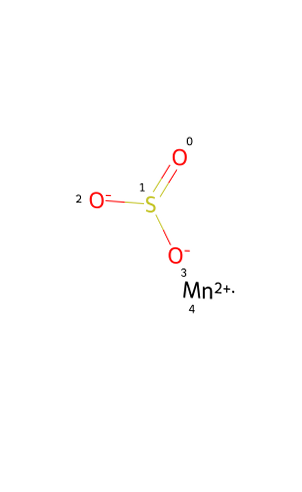 O=S([O-])[O-].[Mn+2]